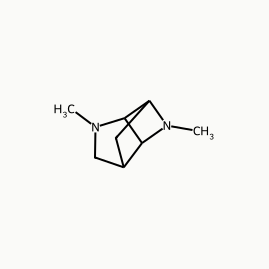 CN1CC2CC3C1C2N3C